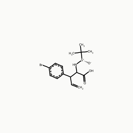 C=CC(c1ccc(Br)cc1)C(N[S@@+]([O-])C(C)(C)C)C(=O)O